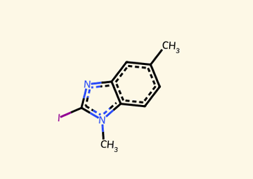 Cc1ccc2c(c1)nc(I)n2C